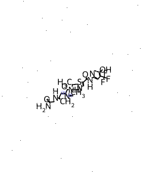 C=C(/C=C(\N=C/C)C(=O)NC(C)c1ncc(C(=O)Nc2cc(C(F)(F)F)c(O)cn2)s1)NCC(N)=O